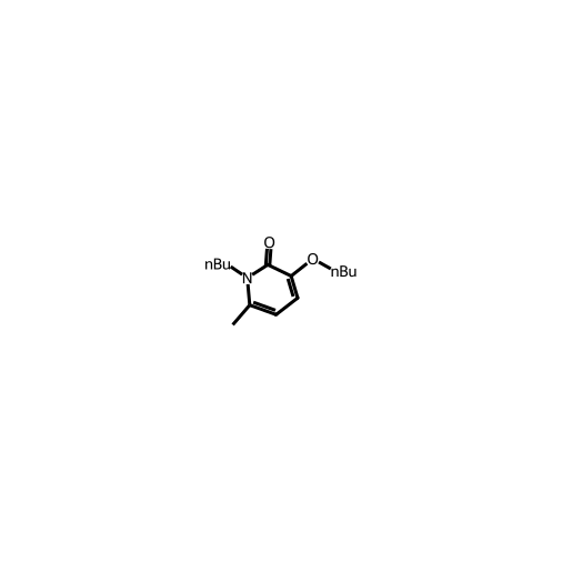 CCCCOc1ccc(C)n(CCCC)c1=O